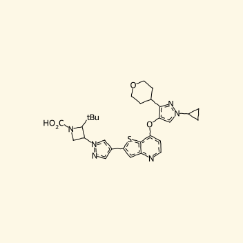 CC(C)(C)C1C(n2cc(-c3cc4nccc(Oc5cn(C6CC6)nc5C5CCOCC5)c4s3)cn2)CN1C(=O)O